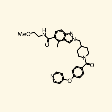 COCCNC(=O)c1ccc2nn(CC3CCN(C(=O)c4ccc(Oc5ccncc5)cc4)CC3)cc2c1C